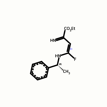 CCOC(=O)C(=N)/C=C(/F)N[C@H](C)c1ccccc1